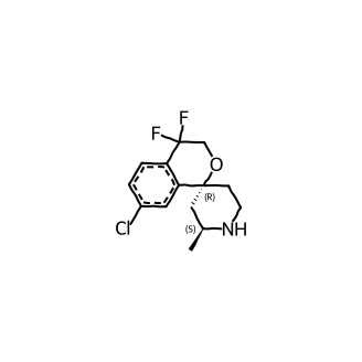 C[C@H]1C[C@@]2(CCN1)OCC(F)(F)c1ccc(Cl)cc12